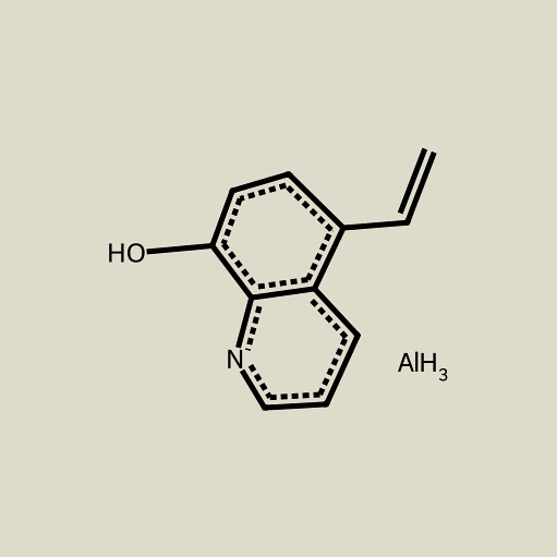 C=Cc1ccc(O)c2ncccc12.[AlH3]